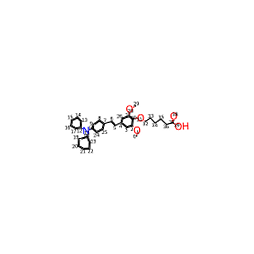 COc1cc(/C=C/c2ccc(N(c3ccccc3)c3ccccc3)cc2)cc(OC)c1OCCCCCC(=O)O